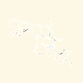 O=C([O-])C1CCOc2cc(Oc3ccc(C(=O)N(c4ccc(Cl)cc4)C4CCCCC4)cc3)c(Cl)cc21.[Na+]